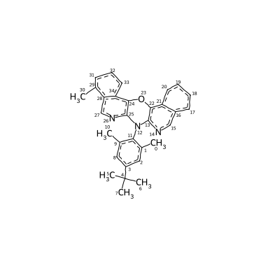 Cc1cc(C(C)(C)C)cc(C)c1N1c2ncc3ccccc3c2Oc2c1ncc1c(C)cccc21